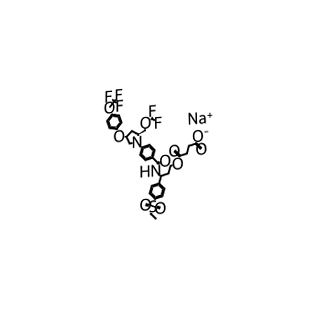 CCS(=O)(=O)c1ccc(C(CCOC(=O)CCC(=O)[O-])NC(=O)c2ccc(N3C[C@@H](Oc4ccc(OC(F)(F)F)cc4)C[C@H]3COC(F)F)cc2)cc1.[Na+]